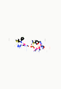 Cc1ncsc1-c1ccc([C@H](C)NC(=O)[C@@H]2C[C@@H](O)CN2C(=O)[C@@H](NC(=O)[C@@H](C)OCCCOCCNC(=O)C[C@@H]2N=C(c3ccc(Cl)cc3)c3c(sc(C)c3C)-n3c(C)nnc32)C(C)(C)C)cc1